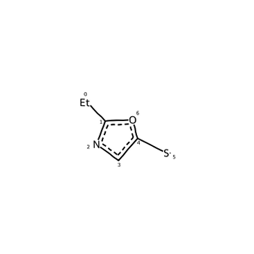 CCc1ncc([S])o1